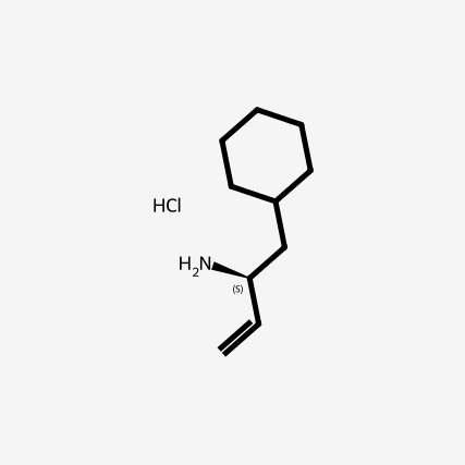 C=C[C@@H](N)CC1CCCCC1.Cl